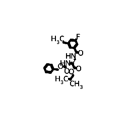 CCc1cc(F)cc(C(=O)NC[C@@H](NC(=O)OCc2ccccc2)C(=O)OCC(C)C)c1